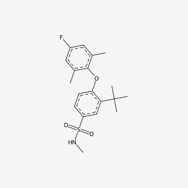 CNS(=O)(=O)c1ccc(Oc2c(C)cc(F)cc2C)c(C(C)(C)C)c1